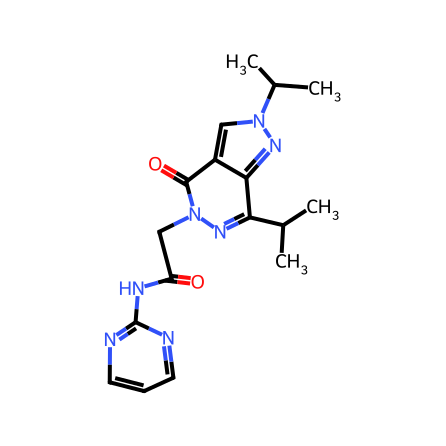 CC(C)c1nn(CC(=O)Nc2ncccn2)c(=O)c2cn(C(C)C)nc12